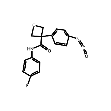 O=C=Nc1ccc(C2(C(=O)Nc3ccc(F)cc3)COC2)cc1